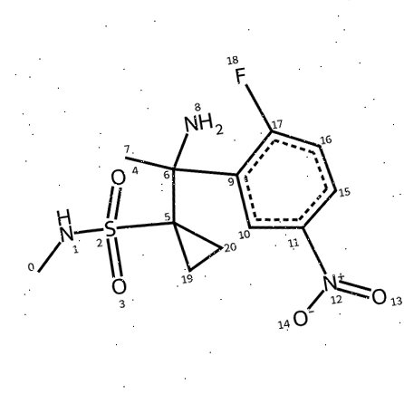 CNS(=O)(=O)C1(C(C)(N)c2cc([N+](=O)[O-])ccc2F)CC1